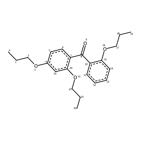 CCCOc1ccc(C(=O)c2ccccc2OCCC)c(OCCC)c1